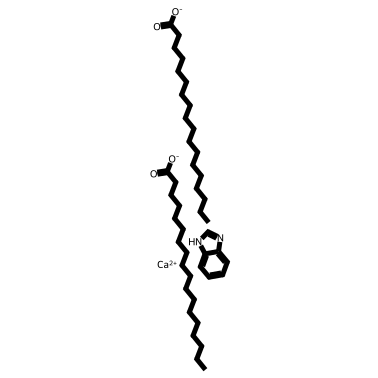 CCCCCCCCCCCCCCCCCC(=O)[O-].CCCCCCCCCCCCCCCCCC(=O)[O-].[Ca+2].c1ccc2[nH]cnc2c1